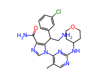 Cc1cnc(NC2CCOCC2)nc1-n1cnc(C(N)=O)c1C(CN)c1cccc(Cl)c1